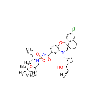 C=CCC(C)N(CC(COC)O[Si](C)(C)C(C)(C)C)S(=O)(=O)NC(=O)c1ccc2c(c1)N(C[C@@H]1CC[C@H]1C(O)C=C)C[C@@]1(CCCc3cc(Cl)ccc31)CO2